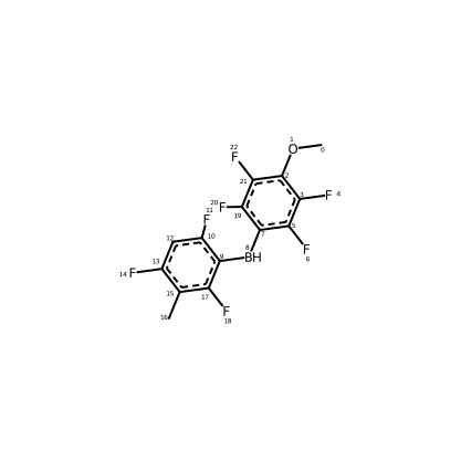 COc1c(F)c(F)c(Bc2c(F)cc(F)c(C)c2F)c(F)c1F